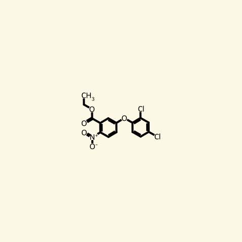 CCOC(=O)c1cc(Oc2ccc(Cl)cc2Cl)ccc1[N+](=O)[O-]